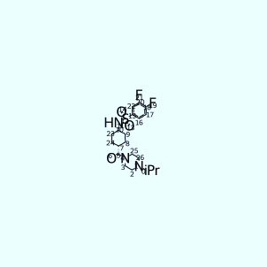 CC(C)N1CCN(C(=O)[C@H]2CC[C@H](NS(=O)(=O)c3ccc(F)c(F)c3)CC2)CC1